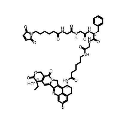 CC[C@@]1(O)C(=O)OCc2c1cc1n(c2=O)Cc2c-1nc1cc(F)cc3c1c2[C@@H](NC(=O)CCCCCNC(=O)CNC(=O)[C@H](Cc1ccccc1)NC(=O)CNC(=O)CNC(=O)CCCCCN1C(=O)C=CC1=O)CC3